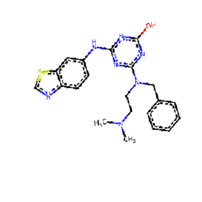 CN(C)CCN(Cc1ccccc1)c1nc(O)nc(Nc2ccc3ncsc3c2)n1